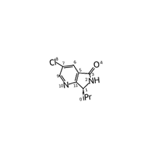 CC(C)[C@@H]1NC(=O)c2cc(Cl)cnc21